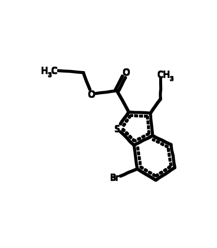 CCOC(=O)c1sc2c(Br)cccc2c1CC